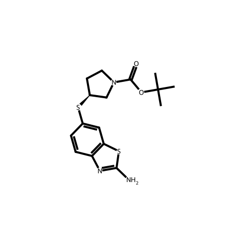 CC(C)(C)OC(=O)N1CC[C@H](Sc2ccc3nc(N)sc3c2)C1